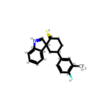 Fc1ccc(C2CCC(=S)C3(C=Nc4ccccc43)C2)cc1C(F)(F)F